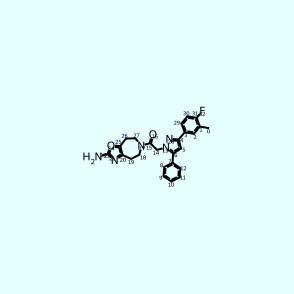 Cc1cc(-c2cc(-c3ccccc3)n(CC(=O)N3CCc4nc(N)oc4CC3)n2)ccc1F